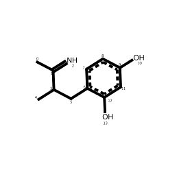 CC(=N)C(C)Cc1ccc(O)cc1O